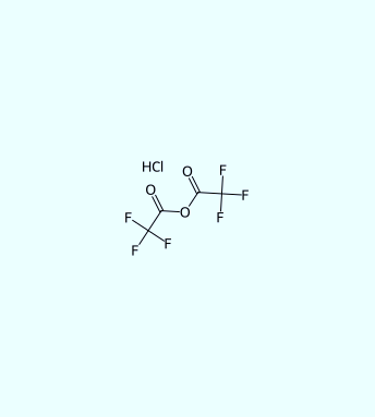 Cl.O=C(OC(=O)C(F)(F)F)C(F)(F)F